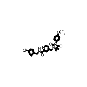 CC1(C)C(=O)N(c2ccc(OC(F)(F)F)cc2)C(=O)N1Cc1ccnc(C(=O)NCc2ccc(Cl)cc2)c1